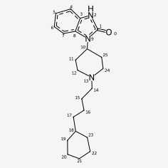 O=c1[nH]c2ccccc2n1C1CCN(CCCCC2CCCCC2)CC1